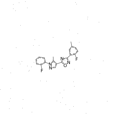 Cc1ccc(F)c(-c2noc(-c3cnn(-c4ccccc4F)c3C)n2)c1